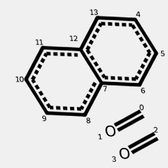 C=O.C=O.c1ccc2ccccc2c1